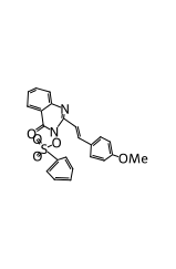 COc1ccc(C=Cc2nc3ccccc3c(=O)n2OS(=O)(=O)c2ccccc2)cc1